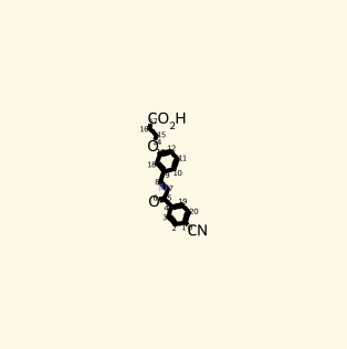 N#Cc1ccc(C(=O)/C=C/c2cccc(OCCC(=O)O)c2)cc1